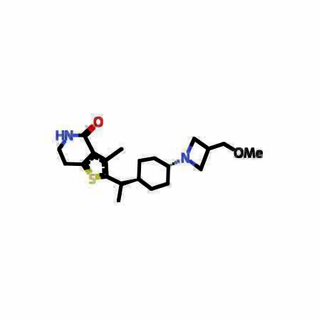 COCC1CN([C@H]2CC[C@H](C(C)c3sc4c(c3C)C(=O)NCC4)CC2)C1